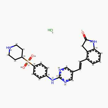 Cl.O=C1Cc2c(/C=C/c3cnc(Nc4ccc(S(=O)(=O)C5CCNCC5)cc4)nc3)cccc2N1